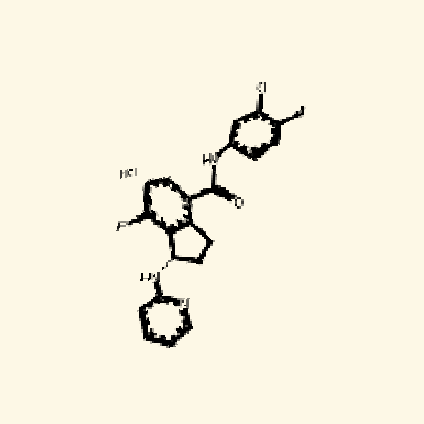 Cl.O=C(Nc1ccc(F)c(Cl)c1)c1ccc(F)c2c1CC[C@@H]2Nc1ccccn1